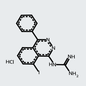 Cl.N=C(N)Nc1nnc(-c2ccccc2)c2cccc(I)c12